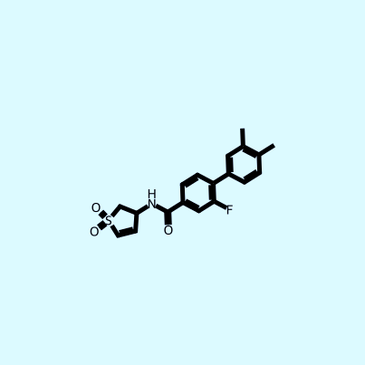 Cc1ccc(-c2ccc(C(=O)NC3C=CS(=O)(=O)C3)cc2F)cc1C